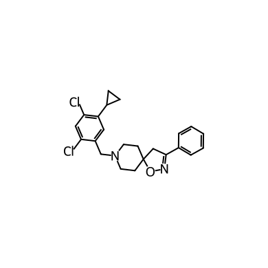 Clc1cc(Cl)c(C2CC2)cc1CN1CCC2(CC1)CC(c1ccccc1)=NO2